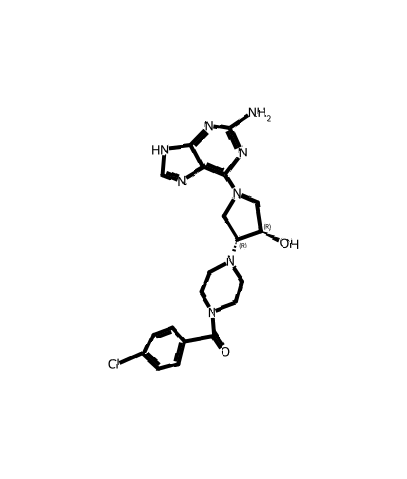 Nc1nc(N2C[C@@H](O)[C@H](N3CCN(C(=O)c4ccc(Cl)cc4)CC3)C2)c2nc[nH]c2n1